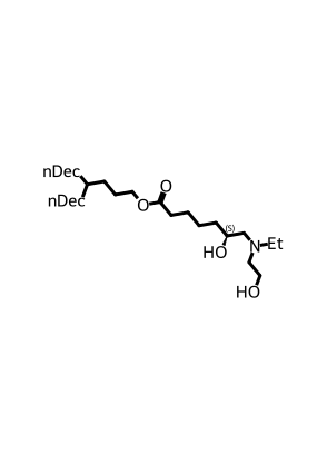 CCCCCCCCCCC(CCCCCCCCCC)CCCOC(=O)CCCC[C@H](O)CN(CC)CCO